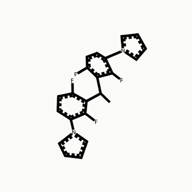 CC(c1c(F)ccc(-n2cccc2)c1F)c1c(F)ccc(-n2cccc2)c1F